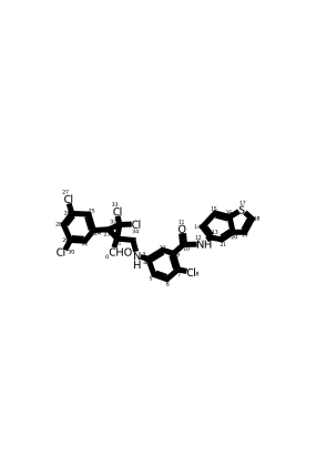 O=CC1(CNc2ccc(Cl)c(C(=O)Nc3ccc4sccc4c3)c2)C(c2cc(Cl)cc(Cl)c2)C1(Cl)Cl